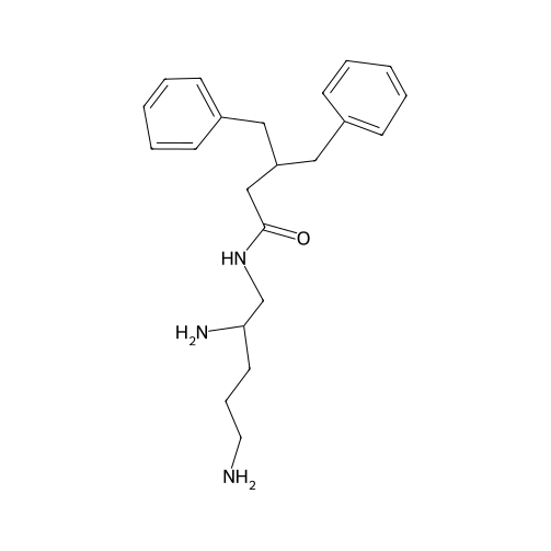 NCCCC(N)CNC(=O)CC(Cc1ccccc1)Cc1ccccc1